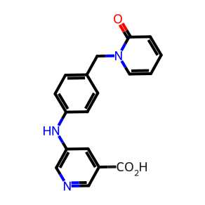 O=C(O)c1cncc(Nc2ccc(Cn3ccccc3=O)cc2)c1